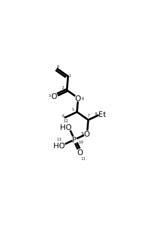 C=CC(=O)OC(C)C(CC)OP(=O)(O)O